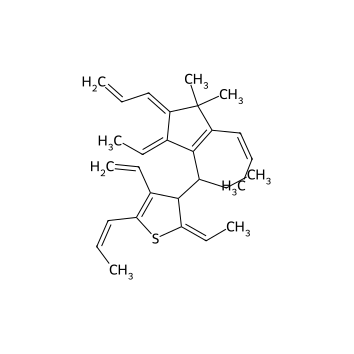 C=C/C=C1\C(=C/C)C(C(CC)C2C(C=C)=C(/C=C\C)S/C2=C/C)=C(/C=C\C)C1(C)C